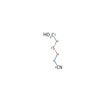 N#CCCSCC(=O)O